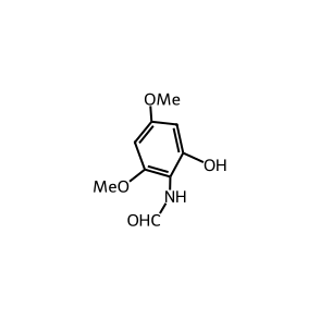 COc1cc(O)c(NC=O)c(OC)c1